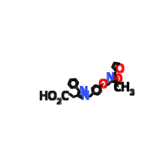 Cc1oc(-c2ccco2)nc1COc1ccc(Cn2cc(CCC(=O)O)c(-c3ccccc3)n2)cc1